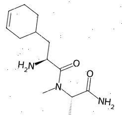 C[C@@H](C(N)=O)N(C)C(=O)[C@@H](N)CC1CC=CCC1